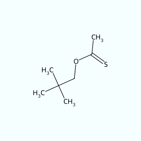 CC(=S)OCC(C)(C)C